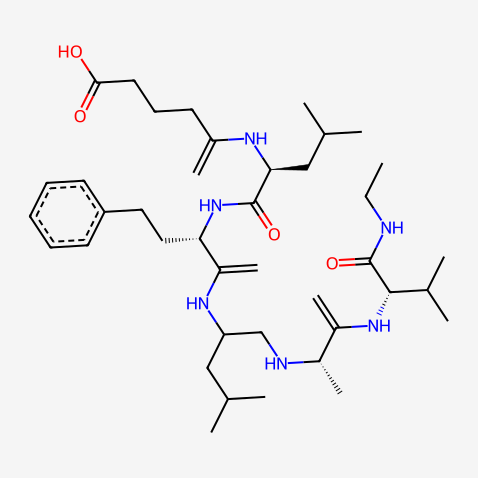 C=C(CCCC(=O)O)N[C@@H](CC(C)C)C(=O)N[C@@H](CCc1ccccc1)C(=C)NC(CN[C@@H](C)C(=C)N[C@H](C(=O)NCC)C(C)C)CC(C)C